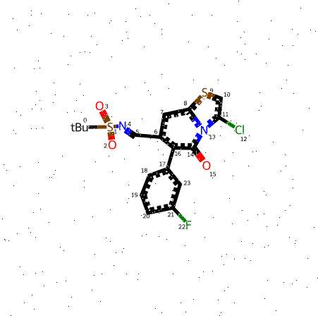 CC(C)(C)S(=O)(=O)N=Cc1cc2scc(Cl)n2c(=O)c1-c1cccc(F)c1